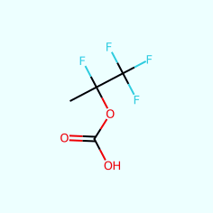 CC(F)(OC(=O)O)C(F)(F)F